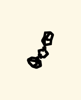 C1C2CC3CC1CC(N1CCN(C45CC6CC(CC(C6)C4)C5)C1)(C2)C3